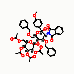 COc1ccc([C@@]2(O)O[C@H](COCc3ccccc3)[C@@H](O[C@@H]3O[C@H](COC(C)=O)[C@H](OC(C)=O)[C@H](OC(C)=O)[C@H]3OC(C)=O)[C@H](OCc3ccccc3)[C@H]2N2C(=O)c3ccccc3C2=O)cc1